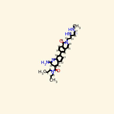 CCCN(CCC)C(=O)C1=Cc2ccc(-c3ccc4c(=O)n(CCC(=N)/C=C\NC)ccc4c3)cc2N=C(N)C1